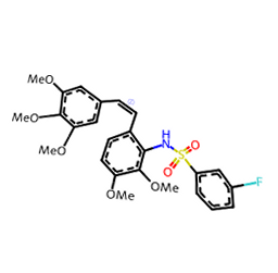 COc1cc(/C=C\c2ccc(OC)c(OC)c2NS(=O)(=O)c2cccc(F)c2)cc(OC)c1OC